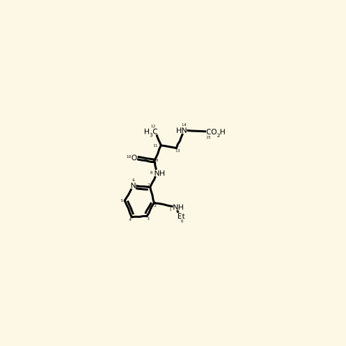 CCNc1cccnc1NC(=O)C(C)CNC(=O)O